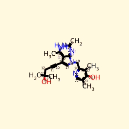 C=C(N)/N=C1\C(=C(\C)N)C(C#CCC(C)(C)O)=CN1Cc1ncc(C)c(O)c1C